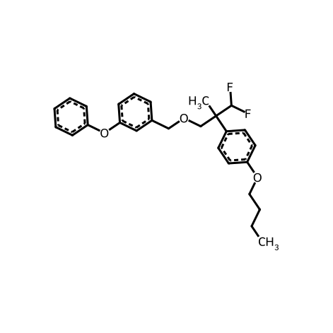 CCCCOc1ccc(C(C)(COCc2cccc(Oc3ccccc3)c2)C(F)F)cc1